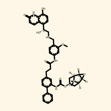 COc1cc(NC(=O)CCc2ccc(-c3ccccc3)c(NC(=O)O[C@@H]3C[C@@H]4[C@H]5O[C@H]5[C@H](C3)[N+]4(C)C)c2)ccc1CNC[C@H](O)c1ccc(O)c2[nH]c(=O)ccc12